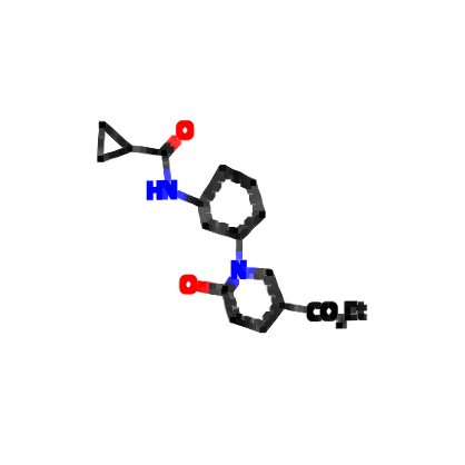 CCOC(=O)c1ccc(=O)n(-c2cccc(NC(=O)C3CC3)c2)c1